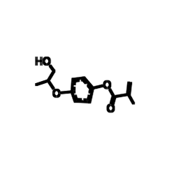 C=C(C)C(=O)Oc1ccc(OC(C)CO)cc1